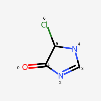 O=C1N=[C][N]C1Cl